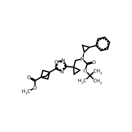 COC(=O)C12CC(c3nc(C4(CN(C(=O)OC(C)(C)C)[C@H]5CC5c5ccccc5)CC4)no3)(C1)C2